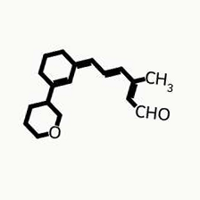 CC(C=CC=C1C=C(C2CCCOC2)CCC1)=CC=O